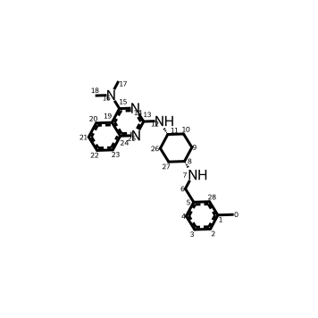 Cc1cccc(CN[C@H]2CC[C@@H](Nc3nc(N(C)C)c4ccccc4n3)CC2)c1